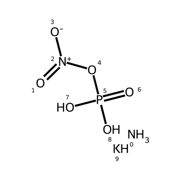 N.O=[N+]([O-])OP(=O)(O)O.[KH]